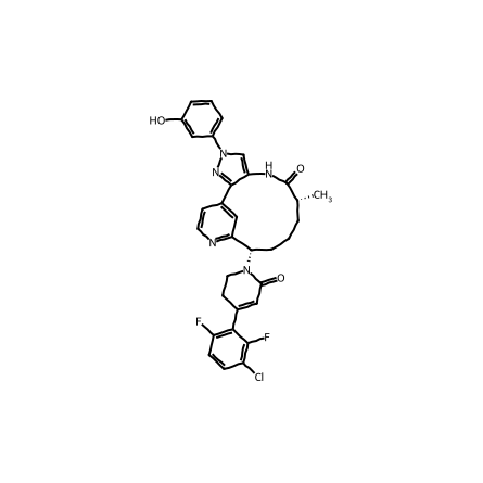 C[C@@H]1CCC[C@H](N2CCC(c3c(F)ccc(Cl)c3F)=CC2=O)c2cc(ccn2)-c2nn(-c3cccc(O)c3)cc2NC1=O